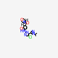 COc1cc(C(=O)N2[C@@H]3CC[C@H]2COC3)ccc1Nc1ncc(Cl)c(-c2cnn(C(C)C)c2)n1